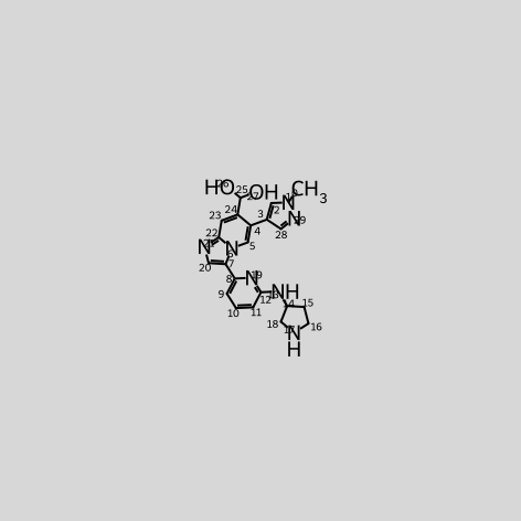 Cn1cc(-c2cn3c(-c4cccc(NC5CCNC5)n4)cnc3cc2C(O)O)cn1